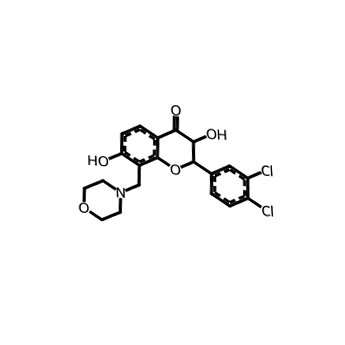 O=C1c2ccc(O)c(CN3CCOCC3)c2OC(c2ccc(Cl)c(Cl)c2)C1O